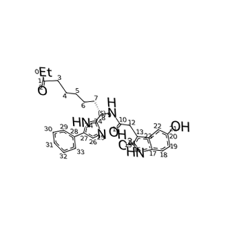 CCC(=O)CCCCC[C@H](NC(=O)Cc1c(C)[nH]c2ccc(O)cc12)c1ncc(-c2ccccc2)[nH]1